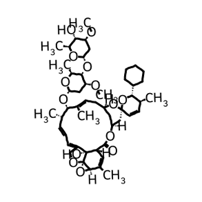 CO[C@H]1C[C@H](O[C@H]2[C@H](C)O[C@@H](O[C@@H]3/C(C)=C/C[C@@H]4C[C@@H](C[C@]5(C=C[C@H](C)[C@@H](C6CCCCC6)O5)O4)OC(=O)[C@@H]4C=C(C)[C@H]5O[C@@]56OC/C(=C\C=C\[C@@H]3C)[C@@]46O)C[C@@H]2OC)O[C@@H](C)[C@@H]1O